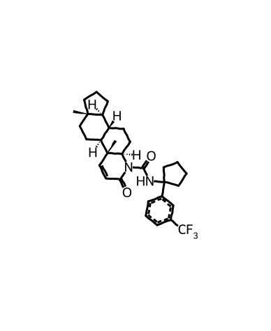 C[C@@]12CCC[C@H]1[C@@H]1CC[C@H]3N(C(=O)NC4(c5cccc(C(F)(F)F)c5)CCCC4)C(=O)C=C[C@]3(C)[C@H]1CC2